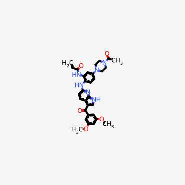 C=CC(=O)Nc1cc(N2CCN(C(C)=O)CC2)ccc1Nc1ccc2c(C(=O)c3cc(OC)cc(OC)c3)c[nH]c2n1